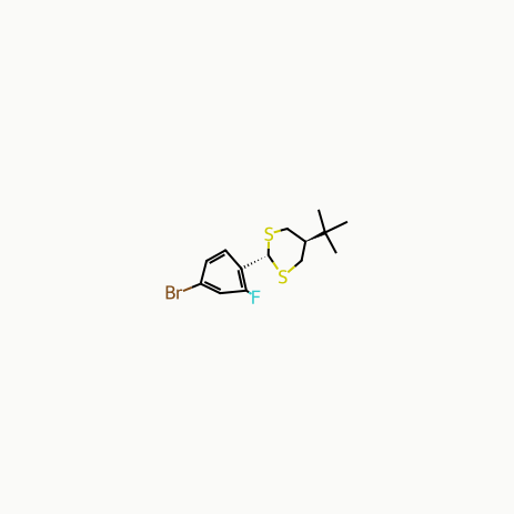 CC(C)(C)[C@H]1CS[C@H](c2ccc(Br)cc2F)SC1